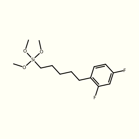 CO[Si](CCCCCc1ccc(F)cc1F)(OC)OC